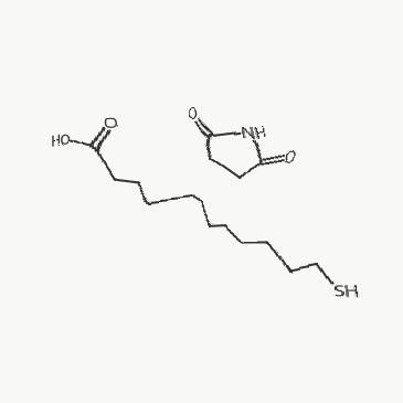 O=C(O)CCCCCCCCCCS.O=C1CCC(=O)N1